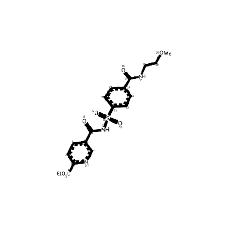 CCOC(=O)c1ccc(C(=O)NS(=O)(=O)c2ccc(C(=O)NCCOC)cc2)cn1